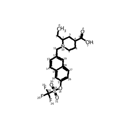 CCC1CC(C(=O)O)CCN1Cc1ccc2cc(OS(=O)(=O)C(F)(F)F)ccc2c1